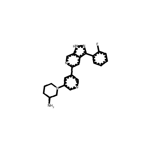 NC1CCCN(c2cncc(-c3cc4c(-c5ccccc5F)n[nH]c4cn3)c2)C1